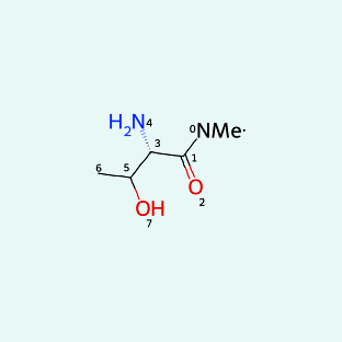 C[N]C(=O)[C@@H](N)C(C)O